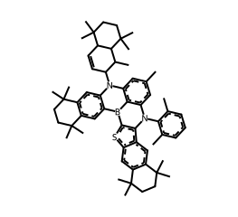 Cc1cc2c3c(c1)N(C1C=CC4C(C1C)C(C)(C)CCC4(C)C)c1cc4c(cc1B3c1sc3cc5c(cc3c1N2c1c(C)cccc1C)C(C)(C)CCC5(C)C)C(C)(C)CCC4(C)C